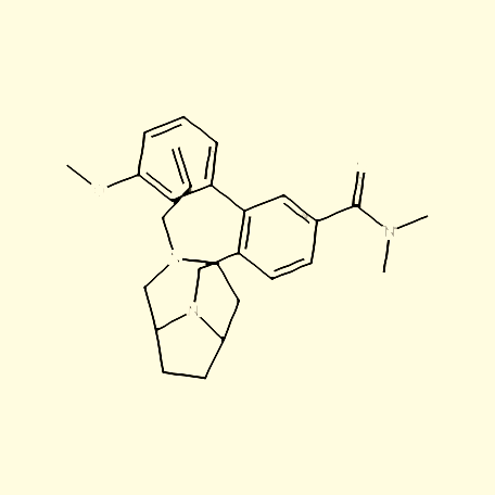 C=CCN1CCC2CCC(C1)N2Cc1ccc(C(=O)N(C)C)cc1-c1cccc(OC)c1